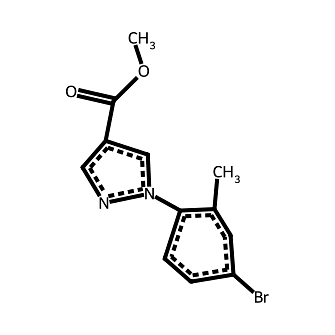 COC(=O)c1cnn(-c2ccc(Br)cc2C)c1